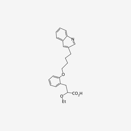 CCOC(Cc1ccccc1OCCCCc1cnc2ccccc2c1)C(=O)O